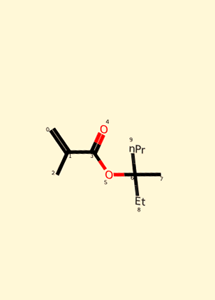 C=C(C)C(=O)OC(C)(CC)CCC